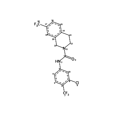 O=C(Nc1ccc(C(F)(F)F)c(Cl)c1)N1CCc2ccc(C(F)(F)F)cc2C1